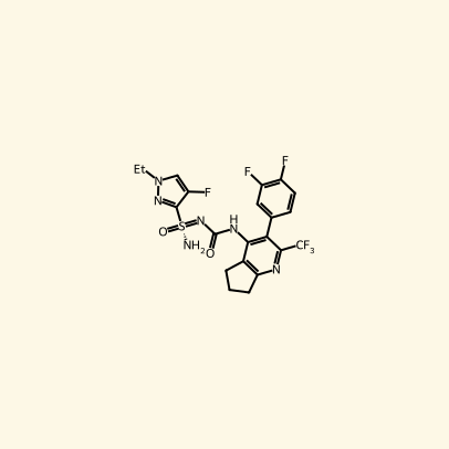 CCn1cc(F)c([S@](N)(=O)=NC(=O)Nc2c3c(nc(C(F)(F)F)c2-c2ccc(F)c(F)c2)CCC3)n1